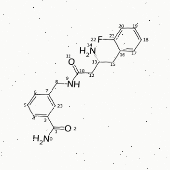 NC(=O)c1cccc(CNC(=O)C[C@H](N)Cc2ccccc2F)c1